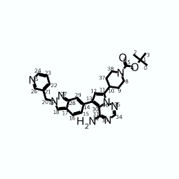 CC(C)(C)OC(=O)N1CCC(c2cc(-c3ccc4cn(Cc5cccnc5)nc4c3)c3c(N)ncnn23)CC1